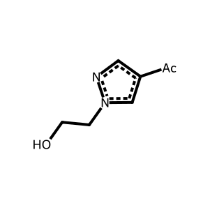 CC(=O)c1cnn(CCO)c1